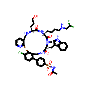 CC(=O)NS(=O)(=O)c1ccc(-c2ccc(Cl)c3c2CNC(=O)[C@H](Cc2c[nH]c4ccccc24)N(C)C(=O)[C@H](CCCCNCC(F)F)NC(=O)[C@H](CCCO)NCc2cccnc2S3)cc1